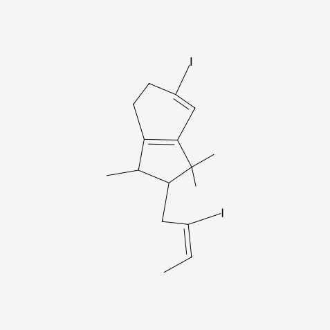 C/C=C(/I)CC1C(C)C2=C(C=C(I)CC2)C1(C)C